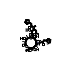 CC[C@H]1OC(=O)[C@H](C)[C@@H](O)[C@H](C)[C@@H](O[C@@H]2O[C@H](C)C[C@H](N(C)C(=O)Cc3cccs3)[C@H]2O)C(C)(O)C[C@@H](C)/C(=N\OC(=O)Cc2cccs2)[C@H](C)[C@@H](O)[C@]1(C)O